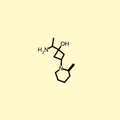 C=C1CCCCN1C1CC(O)(C(C)N)C1